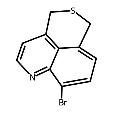 Brc1ccc2c3c(ccnc13)CSC2